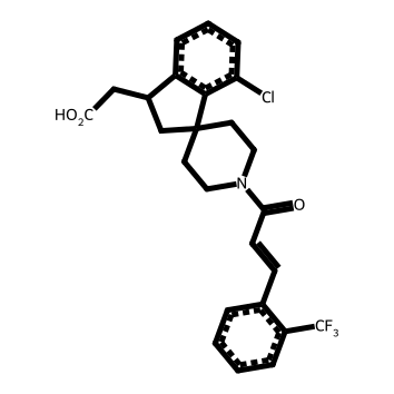 O=C(O)CC1CC2(CCN(C(=O)/C=C/c3ccccc3C(F)(F)F)CC2)c2c(Cl)cccc21